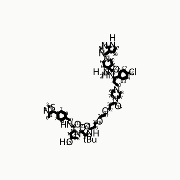 Cc1ncsc1-c1ccc(CNC(=O)[C@@H]2C[C@@H](O)CN2C(=O)C(NC(=O)CCOCCOCCC(=O)N2CCN(CCC(NC(=O)C3(N)CCN(c4ncnc5[nH]ccc45)CC3)c3ccc(Cl)cc3)CC2)C(C)(C)C)cc1